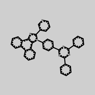 c1ccc(-c2nc(-c3ccccc3)nc(-c3ccc(-n4c(-c5cccnc5)nc5c6ccccc6c6ccccc6c54)cc3)n2)cc1